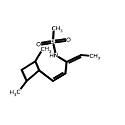 C/C=C(\C=C/C1C(C)CC1C)NS(C)(=O)=O